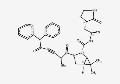 CC(C)(C)C(C#[N+]C(=O)C(c1ccccc1)c1ccccc1)C(=O)N1C[C@H]2C([C@H]1C(=O)N[C@H](C#N)C[C@@H]1CCNC1=O)C2(C)C